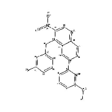 COc1cccc(-c2ccc3ncc([N+](=O)[O-])c(Cc4cccc(C)c4)c3c2)n1